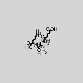 NCC(N)C(=O)O.NCCCC(N)C(=O)O.O=C(O)CCCC(=O)O